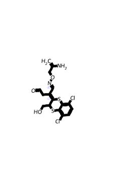 C=C(N)CO/N=C/C(CC=O)=C1\Sc2c(Cl)ccc(Cl)c2SC1CO